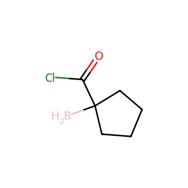 BC1(C(=O)Cl)CCCC1